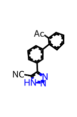 CC(=O)c1ccccc1-c1cccc(-c2nn[nH]c2C#N)c1